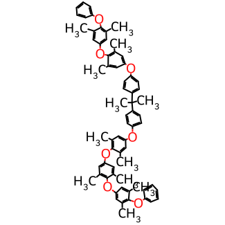 Cc1cc(Oc2ccc(C(C)(C)c3ccc(Oc4cc(C)c(Oc5cc(C)c(Oc6cc(C)c(Oc7ccccc7)c(C)c6)c(C)c5)c(C)c4)cc3)cc2)cc(C)c1Oc1cc(C)c(Oc2ccccc2)c(C)c1